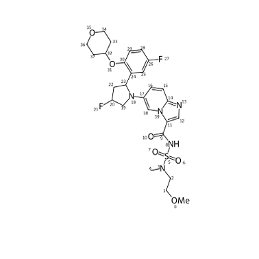 COCCN(C)S(=O)(=O)NC(=O)c1cnc2ccc(N3CC(F)CC3c3cc(F)ccc3OC3CCOCC3)cn12